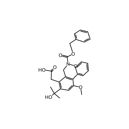 CCN(Cc1c(CC(=O)O)c(C(C)(C)O)cc(OC)c1-c1ccccc1)C(=O)OCc1ccccc1